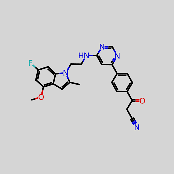 COc1cc(F)cc2c1cc(C)n2CCNc1cc(-c2ccc(C(=O)CC#N)cc2)ncn1